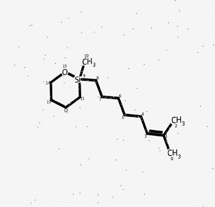 CC(C)=CCCCCC[Si]1(C)CCCCO1